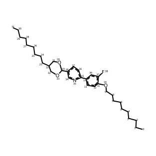 CCCCCCCCCCOc1ccc(-c2ccc(C3OCC(CCCCCCCCC)CO3)cn2)cc1F